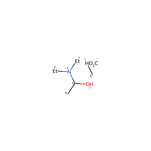 CC(=O)O.CCN(CC)C(C)O